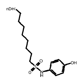 CCCCCCCCCCCCCCCCCCS(=O)(=O)Nc1ccc(O)cc1